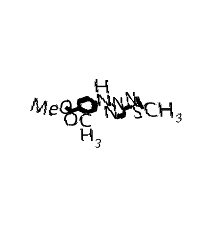 COC(=O)c1ccc(Nc2nccc(-c3ncc(C)s3)n2)cc1C